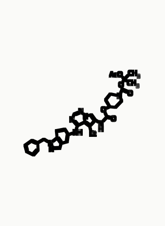 CCc1c(NC(=O)OC2CCN(C(=O)OC(C)(C)OC(C)=O)CC2)cn2ncnc(Nc3ccc4c(cnn4Cc4ccccc4)c3)c12